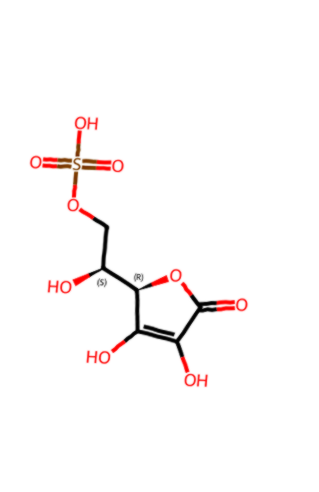 O=C1O[C@H]([C@@H](O)COS(=O)(=O)O)C(O)=C1O